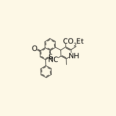 CCOC(=O)C1=C(C)NC(C)=C(C#N)C1c1cccc2c(=O)cc(-c3ccccc3)sc12